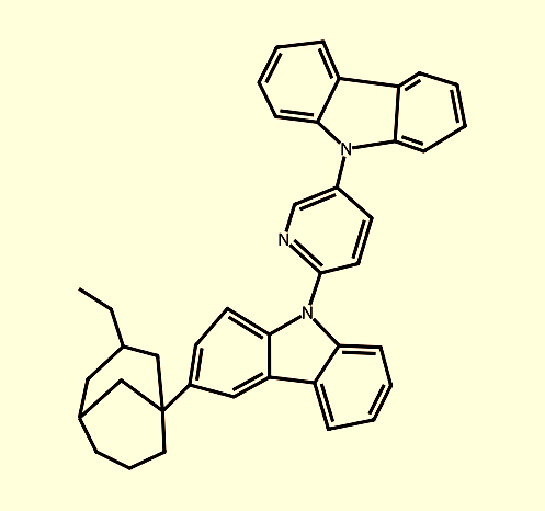 CCC1CC2CCCC(c3ccc4c(c3)c3ccccc3n4-c3ccc(-n4c5ccccc5c5ccccc54)cn3)(C1)C2